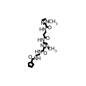 Cn1ccnc1C(=O)NCCC(=O)Nc1cn(C)c(C(=O)NCCNC(=O)C2=CC=CC2)n1